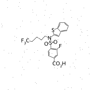 O=C(O)c1ccc(S(=O)(=O)N(CCCCC(F)(F)F)c2cc3ccccc3s2)c(F)c1